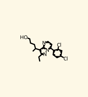 CCc1nn2c(-c3ccc(Cl)cc3Cl)ccnc2c1C(C)CCCO